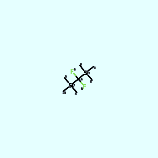 C[Si](C)(C)C(F)(F)[Si](C)(C)C